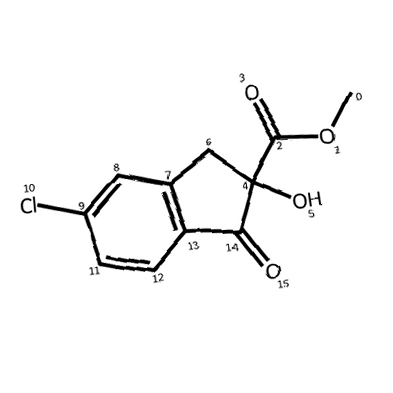 COC(=O)C1(O)Cc2cc(Cl)ccc2C1=O